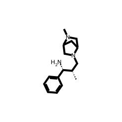 C[C@@H](CN1CC2CC1CN2C)[C@@H](N)c1ccccc1